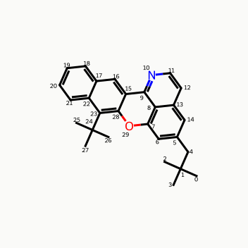 CC(C)(C)Cc1cc2c3c(nccc3c1)-c1cc3ccccc3c(C(C)(C)C)c1O2